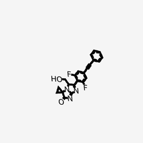 O=C1N=C2N=C(c3c(F)cc(C#Cc4ccccc4)cc3F)C(CO)N2C12CC2